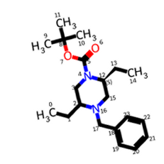 CCC1CN(C(=O)OC(C)(C)C)[C@@H](CC)CN1Cc1ccccc1